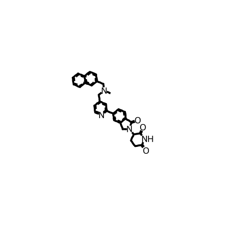 CN(Cc1ccnc(-c2ccc3c(c2)CN(C2CCC(=O)NC2=O)C3=O)c1)Cc1ccc2ccccc2c1